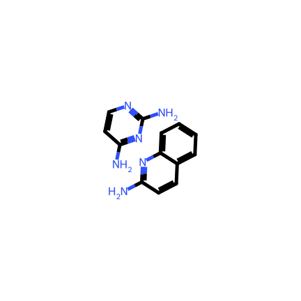 Nc1ccc2ccccc2n1.Nc1ccnc(N)n1